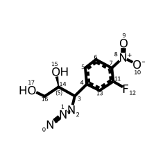 [N-]=[N+]=NC(c1ccc([N+](=O)[O-])c(F)c1)[C@H](O)CO